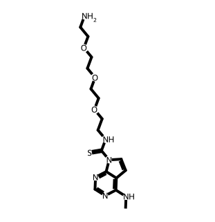 CNc1ncnc2c1ccn2C(=S)NCCOCCOCCOCCN